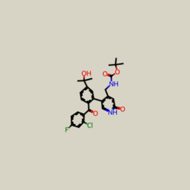 CC(C)(C)OC(=O)NCc1cc(=O)[nH]cc1-c1cc(C(C)(C)O)ccc1C(=O)c1ccc(F)cc1Cl